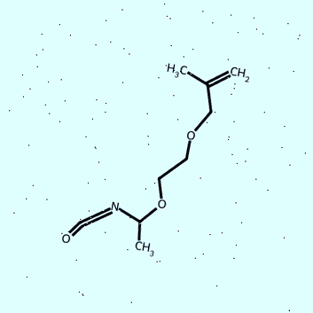 C=C(C)COCCOC(C)N=C=O